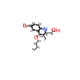 CCCCOc1c(C)c(CO)nc2ccc(Br)cc12